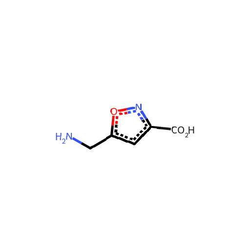 NCc1cc(C(=O)O)no1